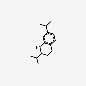 CC(C)c1ccc2c(c1)NC(C(C)C)CC2